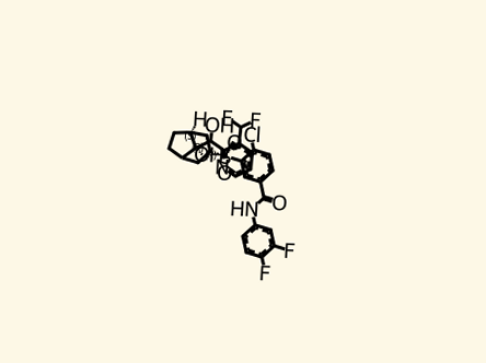 O=C(Nc1ccc(F)c(F)c1)c1ccc(Cl)c(S(=O)(=O)[C@@H]2CC3CC[C@@H](C2)[C@@]3(O)C(O)c2ncccc2C(F)F)c1